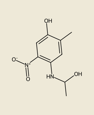 Cc1cc(NC(C)O)c([N+](=O)[O-])cc1O